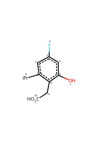 CC(C)c1cc(F)cc(O)c1CC(=O)O